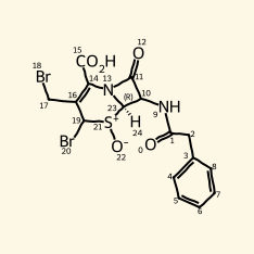 O=C(Cc1ccccc1)NC1C(=O)N2C(C(=O)O)=C(CBr)C(Br)[S+]([O-])[C@H]12